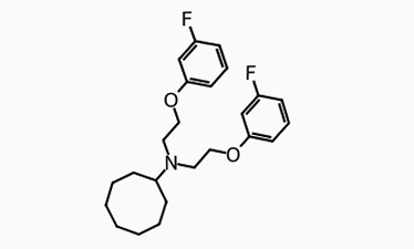 Fc1cccc(OCCN(CCOc2cccc(F)c2)C2CCCCCCC2)c1